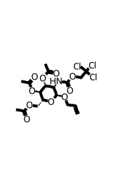 C=CCO[C@H]1O[C@H](COC(C)=O)[C@@H](OC(C)=O)[C@H](OC(C)=O)[C@@H]1NC(=O)OCC(Cl)(Cl)Cl